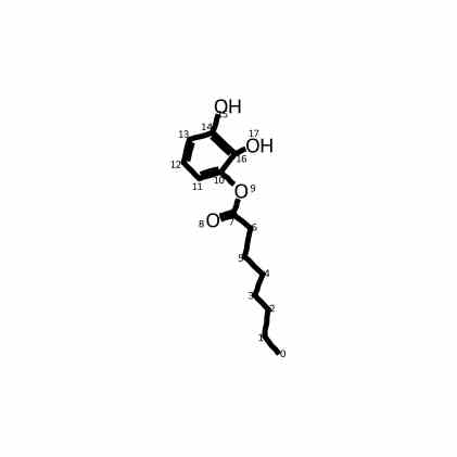 CCCCCCCC(=O)Oc1cccc(O)c1O